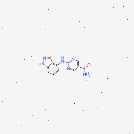 NC(=O)c1cnc(Nc2cccc3[nH]ncc23)nc1